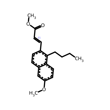 CCCCc1c(/C=C/C(=O)OC)ccc2cc(OC)ccc12